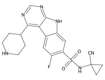 N#CC1(NS(=O)(=O)c2cc3[nH]c4ncnc(C5CCNCC5)c4c3cc2F)CC1